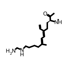 C=C/C(=C\C=C(/C)CCCCNCN)CC[C@H](NC)C(C)=O